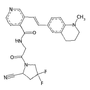 CN1CCCc2cc(/C=C/c3cnccc3C(=O)NCC(=O)N3CC(F)(F)CC3C#N)ccc21